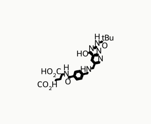 CC(C)(C)C(=O)Nc1nc(O)c2cc(CNCc3ccc(C(=O)N[C@@H](CCC(=O)O)C(=O)O)cc3)cnc2n1